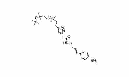 BCc1ccc(SSCCNC(=O)Cc2cn(CCC(C)(C)OCCC(C)(C)OC(C)(C)C)nn2)cc1